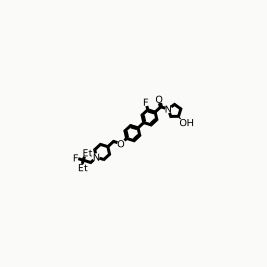 CCC(F)(CC)CN1CCC(COc2ccc(-c3ccc(C(=O)N4CC[C@H](O)C4)c(F)c3)cc2)CC1